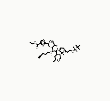 C#CCCCON(C(=O)[C@H]([C@@H](C)CC)N(C=O)[C@]1(C)CCCN1CCO[Si](C)(C)C(C)(C)C)[C@H](C[C@@H](O)c1nc(C(=O)OCC)cs1)C(C)C